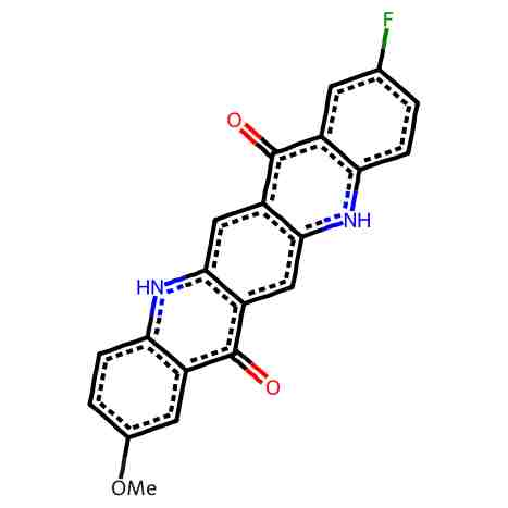 COc1ccc2[nH]c3cc4c(=O)c5cc(F)ccc5[nH]c4cc3c(=O)c2c1